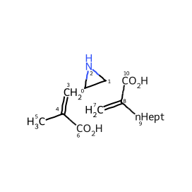 C1CN1.C=C(C)C(=O)O.C=C(CCCCCCC)C(=O)O